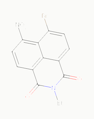 CCN1C(=O)c2ccc(Br)c3c([N+](=O)[O-])ccc(c23)C1=O